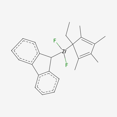 CC[C]1([Zr]([F])([F])[CH]2c3ccccc3-c3ccccc32)C(C)=C(C)C(C)=C1C